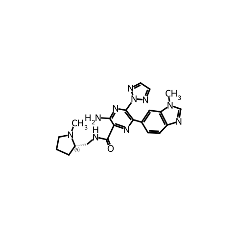 CN1CCC[C@H]1CNC(=O)c1nc(-c2ccc3ncn(C)c3c2)c(-n2nccn2)nc1N